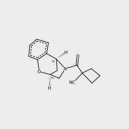 N#CC1(C(=O)N2C[C@@H]3C[C@H]2c2ccccc2O3)CCC1